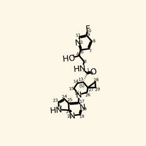 O=C(NCC(O)c1ccc(F)cn1)[C@H]1CCN(c2ncnc3[nH]ccc23)CC12CC2